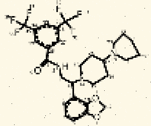 O=C(NCC(c1cccc2c1OCO2)N1CCC(N2CCCCC2)CC1)c1cc(C(F)(F)F)cc(C(F)(F)F)c1